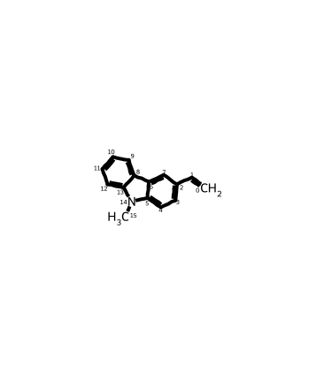 C=Cc1ccc2c(c1)c1ccccc1n2C